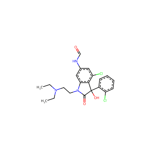 CCN(CC)CCN1C(=O)C(O)(c2ccccc2Cl)c2c(Cl)cc(NC=O)cc21